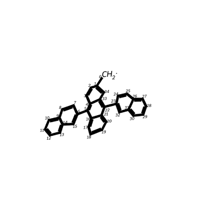 [CH2]c1ccc2c(-c3ccc4ccccc4c3)c3ccccc3c(-c3ccc4ccccc4c3)c2c1